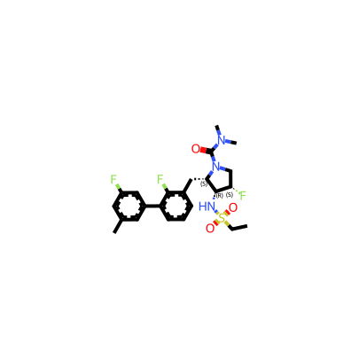 CCS(=O)(=O)N[C@H]1[C@@H](F)CN(C(=O)N(C)C)[C@H]1Cc1cccc(-c2cc(C)cc(F)c2)c1F